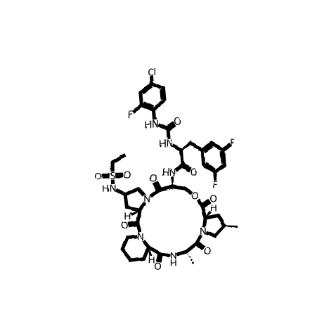 CCS(=O)(=O)NC1C[C@H]2C(=O)N3CCCC[C@H]3C(=O)N[C@@H](C)C(=O)N3C[C@H](C)C[C@H]3C(=O)OC[C@H](NC(=O)[C@H](Cc3cc(F)cc(F)c3)NC(=O)Nc3ccc(Cl)cc3F)C(=O)N2C1